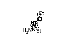 CCOc1cccc(-c2cnc3nc(N)nc(OCC)c3n2)c1